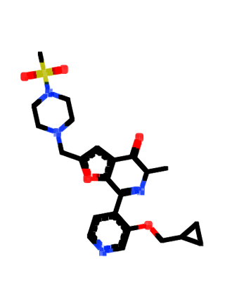 CC1N=C(c2ccncc2OCC2CC2)c2oc(CN3CCN(S(C)(=O)=O)CC3)cc2C1=O